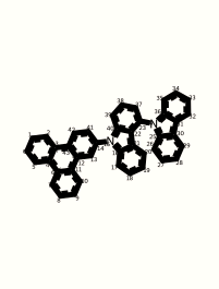 c1ccc2c(c1)c1ccccc1c1cc(-n3c4ccccc4c4c(-n5c6ccccc6c6ccccc65)cccc43)ccc21